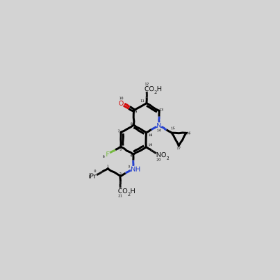 CC(C)CC(Nc1c(F)cc2c(=O)c(C(=O)O)cn(C3CC3)c2c1[N+](=O)[O-])C(=O)O